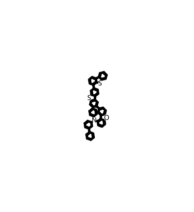 C1=CC(N(c2ccccc2)c2cccc3oc4ccc(-c5ccc6sc7cc(-c8cccc9c8sc8ccccc89)ccc7c6c5)cc4c23)CC(c2ccccc2)=C1